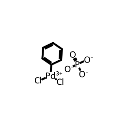 O=P([O-])([O-])[O-].[Cl][Pd+3]([Cl])[c]1ccccc1